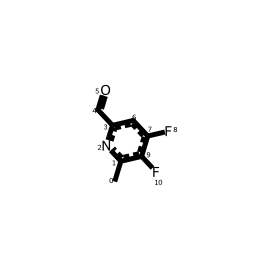 Cc1nc(C=O)cc(F)c1F